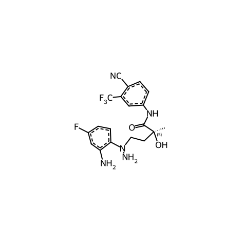 C[C@](O)(CCN(N)c1ccc(F)cc1N)C(=O)Nc1ccc(C#N)c(C(F)(F)F)c1